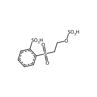 O=S(=O)(O)OCCS(=O)(=O)c1ccccc1S(=O)(=O)O